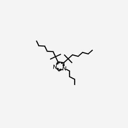 CCCCCC(C)(C)c1ncn(CCCC)c1C(C)(C)CCCCC